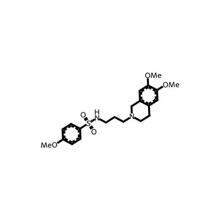 COc1ccc(S(=O)(=O)NCCCN2CCc3cc(OC)c(OC)cc3C2)cc1